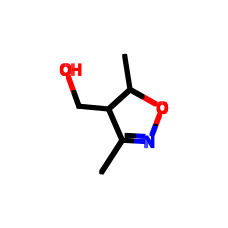 CC1=NOC(C)C1CO